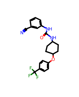 N#Cc1cccc(NC(=O)NC2CCC(Oc3ccc(C(F)(F)F)cc3)CC2)c1